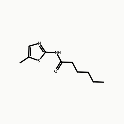 CCCCCC(=O)Nc1ncc(C)s1